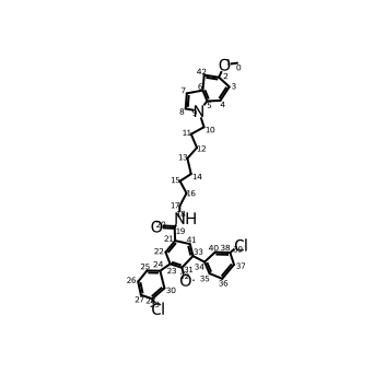 COc1ccc2c(ccn2CCCCCCCCNC(=O)c2cc(-c3cccc(Cl)c3)c([O])c(-c3cccc(Cl)c3)c2)c1